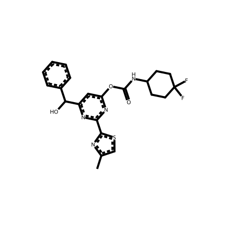 Cc1csc(-c2nc(OC(=O)NC3CCC(F)(F)CC3)cc(C(O)c3ccccc3)n2)n1